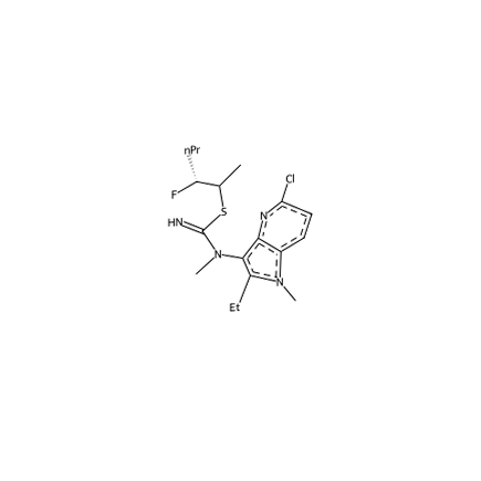 CCC[C@@H](F)C(C)SC(=N)N(C)c1c(CC)n(C)c2ccc(Cl)nc12